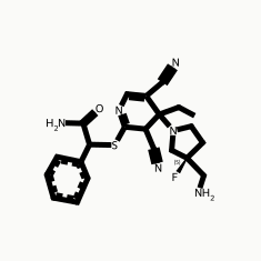 CCC1(N2CC[C@](F)(CN)C2)C(C#N)=CN=C(SC(C(N)=O)c2ccccc2)C1C#N